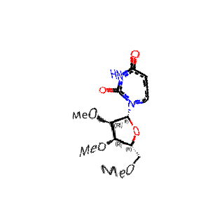 COC[C@H]1O[C@@H](n2ccc(=O)[nH]c2=O)[C@H](OC)[C@@H]1OC